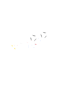 CS(=O)(=O)OCC(O)CCOc1cc(F)cc(Nc2ccc(I)cc2F)c1C(N)=O